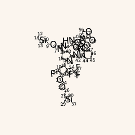 CNC(=O)c1nn(COCC[Si](C)(C)C)c2cc(-c3cc(F)c(OCOCC[Si](C)(C)C)cc3CC(F)(F)F)nc(NCc3ccccc3N(C)S(=O)(=O)N3CCOC3=O)c12